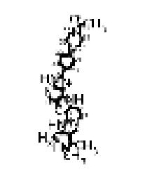 CN/C(C)=C(/CN1CCC(Nc2c(Cl)cnc3[nH]c(-c4ccc(N5CCN(C(C)=O)CC5)cc4)nc23)CC1)C(C)=N